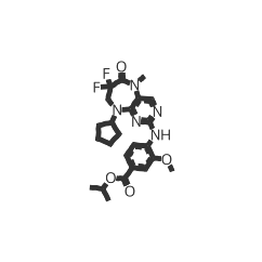 COc1cc(C(=O)OC(C)C)ccc1Nc1ncc2c(n1)N(C1CCCC1)CC(F)(F)C(=O)N2C